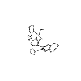 CCc1nc2c(-c3nc4ccccc4nc3-c3ccccc3)ccc3c2n1-c1ccccc1S3(=O)=O